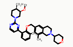 CCO[C@H]1CN(c2nccc(-c3cccc(C)c3OCc3cc(C)c4c(c3)CCN(C3CCOCC3)C4)n2)CC[C@H]1C(=O)O